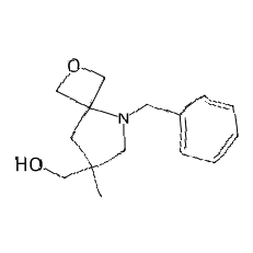 CC1(CO)CN(Cc2ccccc2)C2(COC2)C1